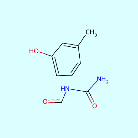 Cc1cccc(O)c1.NC(=O)NC=O